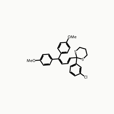 COc1ccc(C(=C/C=C/C2(c3cccc(Cl)c3)SCCCS2)c2ccc(OC)cc2)cc1